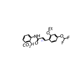 CCOc1cc(OC(F)F)ccc1/C=C/C(=O)Nc1ccccc1C(=O)O